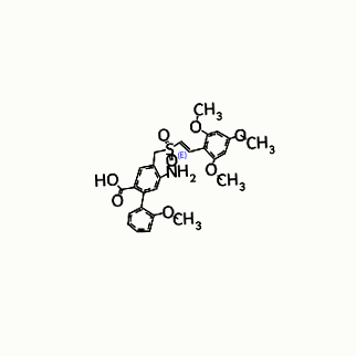 COc1cc(OC)c(/C=C/S(=O)(=O)Cc2cc(C(=O)O)c(-c3ccccc3OC)cc2N)c(OC)c1